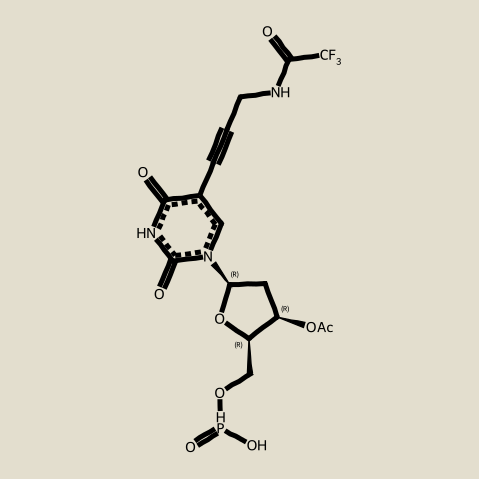 CC(=O)O[C@@H]1C[C@H](n2cc(C#CCNC(=O)C(F)(F)F)c(=O)[nH]c2=O)O[C@@H]1CO[PH](=O)O